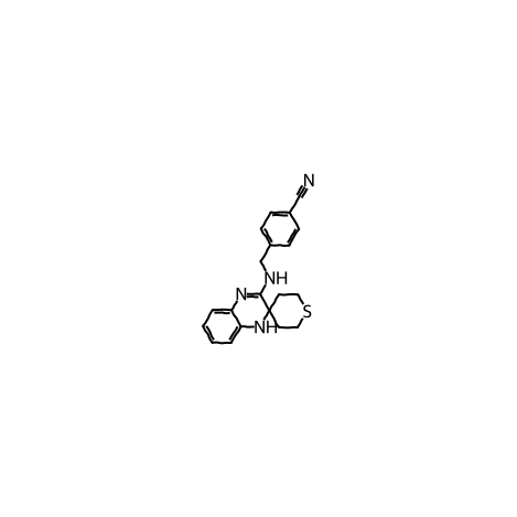 N#Cc1ccc(CNC2=Nc3ccccc3NC23CCSCC3)cc1